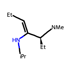 CC/C=C(\NC(C)C)[C@H](CC)NC